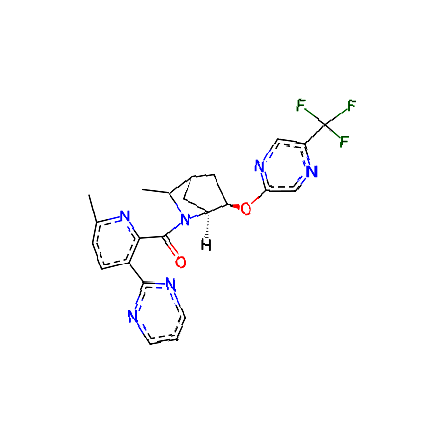 Cc1ccc(-c2ncccn2)c(C(=O)N2C(C)C3C[C@@H](Oc4cnc(C(F)(F)F)cn4)[C@@H]2C3)n1